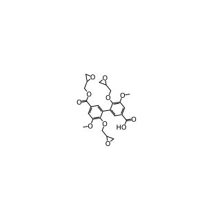 COc1cc(C(=O)O)cc(-c2cc(C(=O)OCC3CO3)cc(OC)c2OCC2CO2)c1OCC1CO1